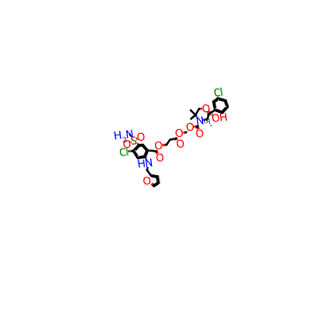 C[C@@H]1N(C(=O)OCOC(=O)CCOC(=O)c2cc(S(N)(=O)=O)c(Cl)cc2NCc2ccco2)C(C)(C)CO[C@@]1(O)c1cccc(Cl)c1